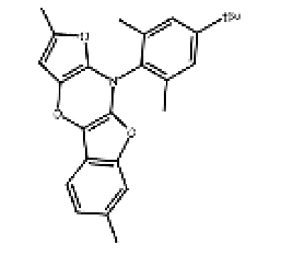 Cc1ccc2c3c(oc2c1)N(c1c(C)cc(C(C)(C)C)cc1C)c1oc(C)cc1O3